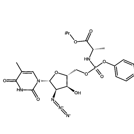 Cc1cn([C@@H]2O[C@H](COP(=O)(N[C@@H](C)C(=O)OC(C)C)Oc3ccccc3)[C@@H](O)[C@H]2N=[N+]=[N-])c(=O)[nH]c1=O